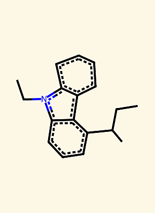 CCC(C)c1cccc2c1c1ccccc1n2CC